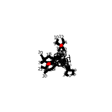 CCCC[O][Pd]([O]CCCC)([O]CCCC)([O]CCCC)([O]CCCC)([O]CCCC)([O]CCCC)[O]CCCC